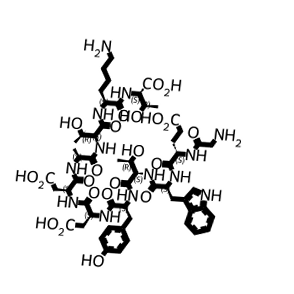 C[C@H](NC(=O)[C@H](CC(=O)O)NC(=O)[C@H](CC(=O)O)NC(=O)[C@H](Cc1ccc(O)cc1)NC(=O)[C@@H](NC(=O)[C@H](Cc1c[nH]c2ccccc12)NC(=O)[C@H](CCC(=O)O)NC(=O)CN)[C@@H](C)O)C(=O)N[C@H](C(=O)N[C@@H](CCCCN)C(=O)N[C@H](C(=O)O)[C@@H](C)O)[C@@H](C)O